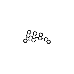 c1ccc2cc(-c3ccc(-c4c5ccccc5c(-c5c6ccccc6cc6c5oc5ccccc56)c5ccccc45)c4ccccc34)ccc2c1